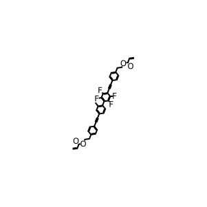 C=CC(=O)OCCc1ccc(C#Cc2ccc(-c3c(F)c(F)c(C#Cc4ccc(CCOC(=O)C=C)cc4)c(F)c3F)c(C)c2)cc1